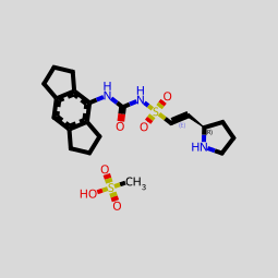 CS(=O)(=O)O.O=C(Nc1c2c(cc3c1CCC3)CCC2)NS(=O)(=O)/C=C/[C@H]1CCCN1